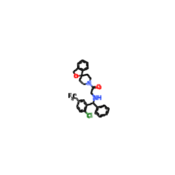 O=C(CNC(c1ccccc1)c1cc(C(F)(F)F)ccc1Cl)N1CCC2(CC1)OCc1ccccc12